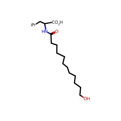 CC(C)CC(NC(=O)CCCCCCCCCCCO)C(=O)O